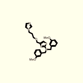 COc1cccc(CN(Cc2cccc(OC)c2)c2nc(COCCCn3ccnc3)cs2)c1